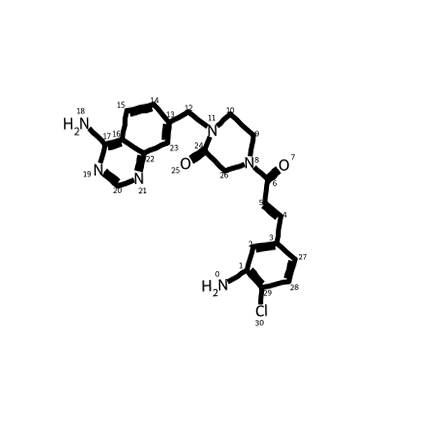 Nc1cc(C=CC(=O)N2CCN(Cc3ccc4c(N)ncnc4c3)C(=O)C2)ccc1Cl